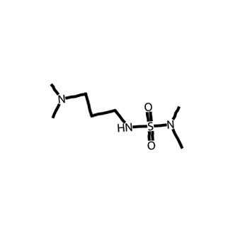 CN(C)CCCNS(=O)(=O)N(C)C